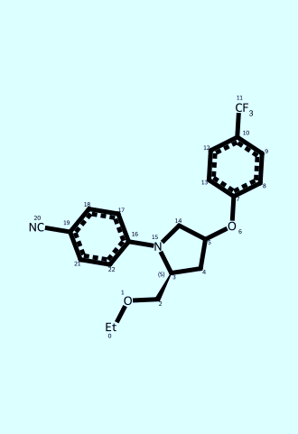 CCOC[C@@H]1CC(Oc2ccc(C(F)(F)F)cc2)CN1c1ccc(C#N)cc1